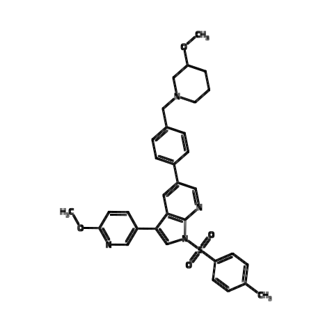 COc1ccc(-c2cn(S(=O)(=O)c3ccc(C)cc3)c3ncc(-c4ccc(CN5CCCC(OC)C5)cc4)cc23)cn1